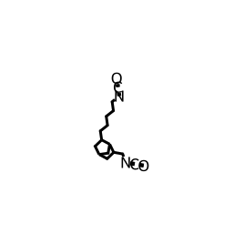 O=C=NCCCCCC1CC2CC(CN=C=O)C1C2